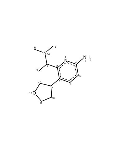 CC(c1nc(N)ccc1C1CCOC1)N(C)C